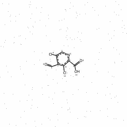 O=Cc1c(Cl)cnc(C(=O)O)c1Cl